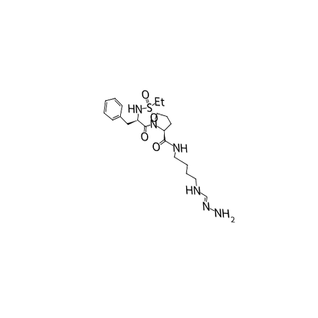 CCS(=O)(=O)N[C@H](Cc1ccccc1)C(=O)N1CCC[C@H]1C(=O)NCCCCNC=NN